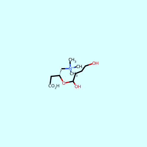 C[N+](C)(C)C[C@@H](CC(=O)O)OC(O)CCCO